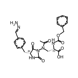 CC(=O)N(C[C@H](NC(=O)OCc1ccccc1)C(=O)O)N1C(=O)N[C@H](Cc2ccc(C=NN)cc2)C1=O